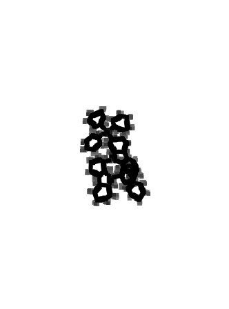 c1ccc(-c2ccc3c4ccc([Si](c5ccccc5)(c5ccccc5)c5ccccc5)cc4n(-c4cccc5c6ccccc6n(-c6ccccc6)c45)c3c2)cc1